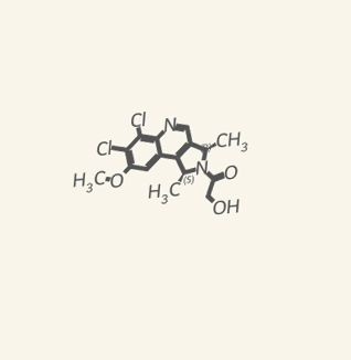 COc1cc2c3c(cnc2c(Cl)c1Cl)[C@@H](C)N(C(=O)CO)[C@H]3C